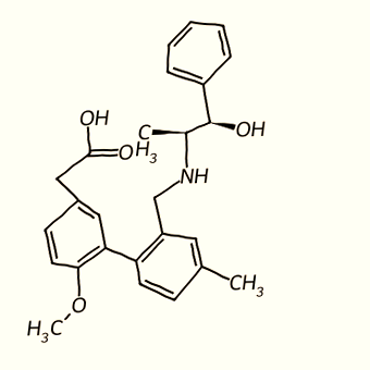 COc1ccc(CC(=O)O)cc1-c1ccc(C)cc1CN[C@@H](C)[C@H](O)c1ccccc1